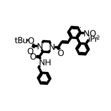 CC(C)c1ccccc1-c1c([N+](=O)[O-])[c]ccc1/C=C/C(=O)N1CCN(C(=O)OC(C)(C)C)C(C(=O)NCc2ccccc2)C1